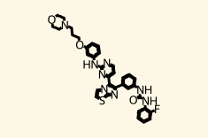 O=C(Nc1cccc(-c2nc3sccn3c2-c2ccnc(Nc3cccc(OCCCN4CCOCC4)c3)n2)c1)Nc1ccccc1F